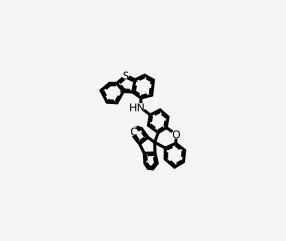 c1ccc2c(c1)Oc1ccc(Nc3cccc4sc5ccccc5c34)cc1C21c2ccccc2-c2ccccc21